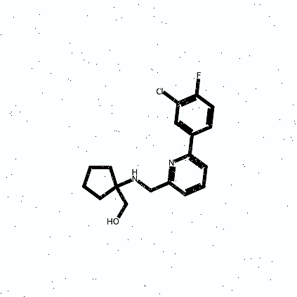 OCC1(NCc2cccc(-c3ccc(F)c(Cl)c3)n2)CCCC1